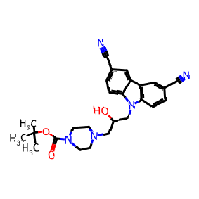 CC(C)(C)OC(=O)N1CCN(CC(O)Cn2c3ccc(C#N)cc3c3cc(C#N)ccc32)CC1